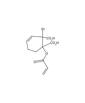 C=CC(=O)OC1(C(=O)O)CCC=CC1(CC)C(=O)O